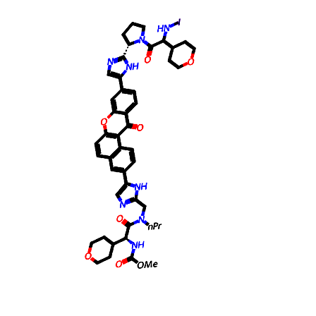 CCCN(Cc1ncc(-c2ccc3c(ccc4oc5cc(-c6cnc([C@@H]7CCCN7C(=O)C(NI)C7CCOCC7)[nH]6)ccc5c(=O)c43)c2)[nH]1)C(=O)[C@@H](NC(=O)OC)C1CCOCC1